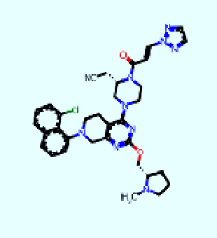 CN1CCC[C@H]1COc1nc2c(c(N3CCN(C(=O)/C=C/n4nccn4)[C@@H](CC#N)C3)n1)CCN(c1cccc3cccc(Cl)c13)C2